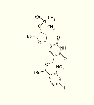 CC[C@H]1O[C@@H](n2cc(CO[C@@H](c3ccc(I)cc3[N+](=O)[O-])C(C)(C)C)c(=O)[nH]c2=O)C[C@H]1O[Si](C)(C)C(C)(C)C